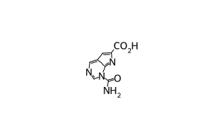 NC(=O)n1cncc2cc(C(=O)O)nc1-2